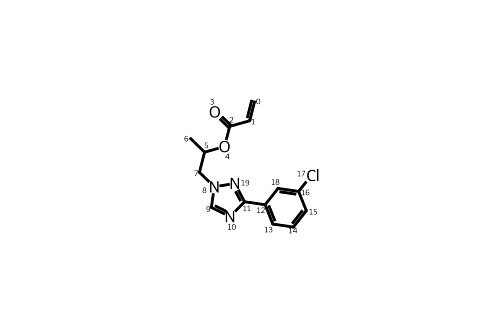 C=CC(=O)OC(C)Cn1cnc(-c2cccc(Cl)c2)n1